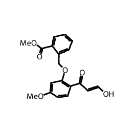 COC(=O)c1ccccc1COc1cc(OC)ccc1C(=O)C=CO